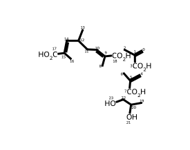 C=C(C)C(=O)O.C=C(C)C(=O)O.CC(=CCC(C)C=C(C)C(=O)O)C(=O)O.CC(O)CO